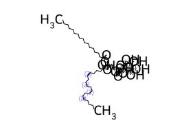 CCCCC/C=C\C/C=C\C/C=C\C/C=C\CCCC(=O)O[C@H](COC(=O)CCCCCCCCCCCCCCCCC)COP(=O)(O)OC1[C@H](O)[C@H](O)C(O)[C@H](O)[C@H]1O